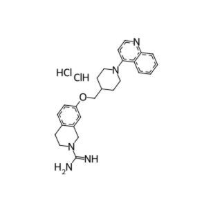 Cl.Cl.N=C(N)N1CCc2ccc(OCC3CCN(c4ccnc5ccccc45)CC3)cc2C1